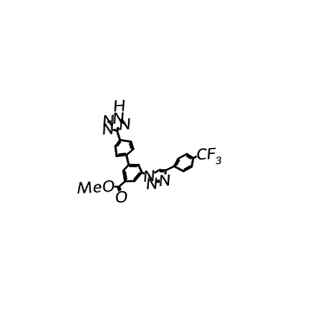 COC(=O)c1cc(-c2ccc(-c3nn[nH]n3)cc2)cc(-n2cc(-c3ccc(C(F)(F)F)cc3)nn2)c1